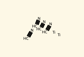 C#N.C#N.C#N.C#N.[Ti].[Ti]